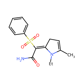 CCN1C(C)=CC/C1=C(/C(N)=O)S(=O)(=O)c1ccccc1